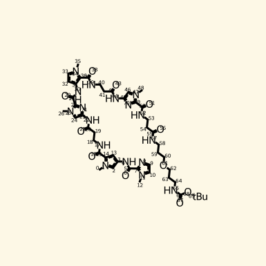 Cn1cc(NC(=O)c2nccn2C)cc1C(=O)NCCC(=O)Nc1cn(C)c(C(=O)Nc2ccn(C)c2C(=O)NCCC(=O)Nc2cn(C)c(C(=O)NCCC(=O)NCCCOCCCNC(=O)OC(C)(C)C)n2)n1